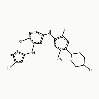 CCc1cc(Nc2nc(Nc3cc(C)c(C4CCN(CC)CC4)cc3F)ncc2Cl)n[nH]1